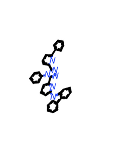 c1ccc(-c2cccc(-c3nnc(-c4cccc(-n5c6ccccc6c6ccccc65)n4)n3-c3ccccc3)n2)cc1